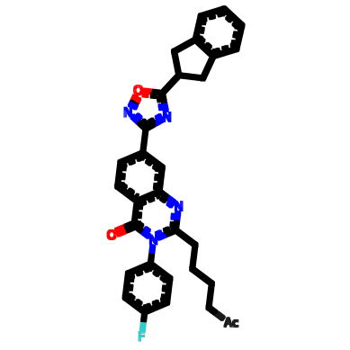 CC(=O)CCCCc1nc2cc(-c3noc(C4Cc5ccccc5C4)n3)ccc2c(=O)n1-c1ccc(F)cc1